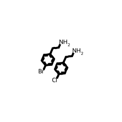 NCCc1ccc(Br)cc1.NCCc1ccc(Cl)cc1